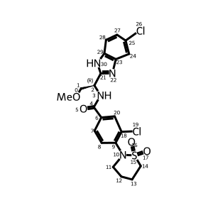 COC[C@H](NC(=O)c1ccc(N2CCCCS2(=O)=O)c(Cl)c1)c1nc2cc(Cl)ccc2[nH]1